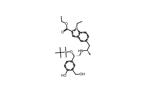 CCOC(=O)c1cc2cc(C[C@@H](C)NC[C@@H](O[Si](C)(C)C(C)(C)C)c3ccc(O)c(CO)c3)ccc2n1CC